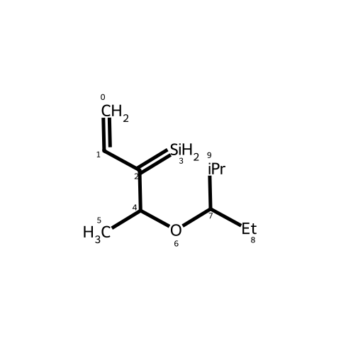 C=CC(=[SiH2])C(C)OC(CC)C(C)C